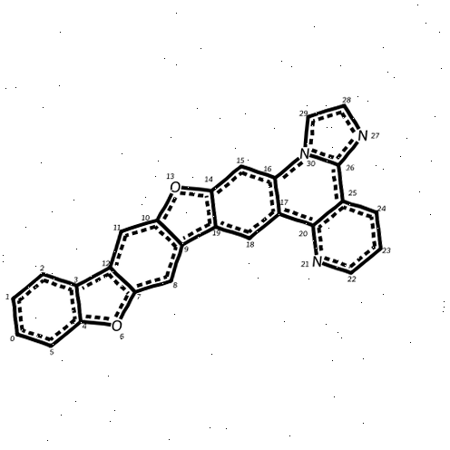 c1ccc2c(c1)oc1cc3c(cc12)oc1cc2c(cc13)c1ncccc1c1nccn21